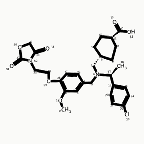 COc1cc(CN(C[C@H]2CC[C@H](C(=O)O)CC2)[C@@H](C)c2ccc(Cl)cc2)ccc1OCCN1C(=O)COC1=O